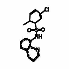 CC1C=CC(Cl)=CC1S(=O)(=O)Nc1cccc2cccnc12